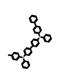 Cc1ccc(N(c2ccccc2)c2ccc(-c3ccc(N(c4ccccc4)c4ccc(-c5ccccc5)cc4)cc3)cc2)cc1